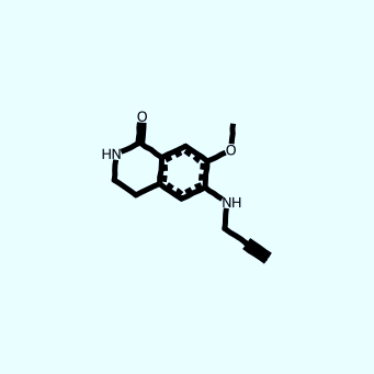 C#CCNc1cc2c(cc1OC)C(=O)NCC2